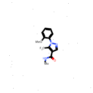 COc1ccccc1-n1ncc(C(=O)NC(C)(C)C)c1C(F)(F)F